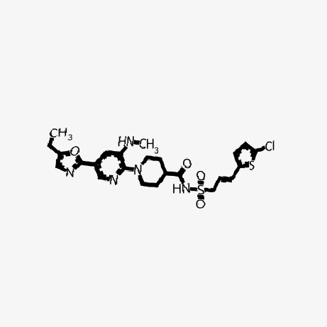 CCc1cnc(-c2cnc(N3CCC(C(=O)NS(=O)(=O)CC=Cc4ccc(Cl)s4)CC3)c(NC)c2)o1